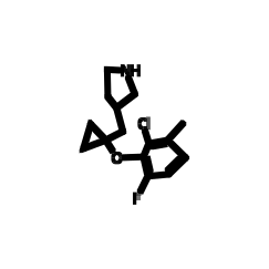 Cc1ccc(F)c(OC2(CC3CCNC3)CC2)c1Cl